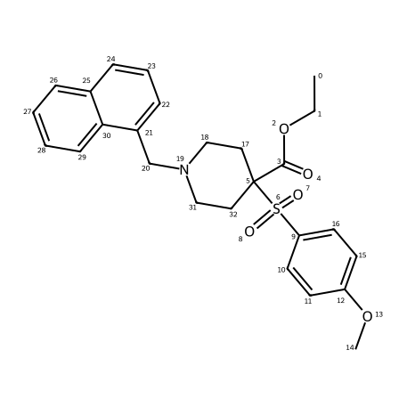 CCOC(=O)C1(S(=O)(=O)c2ccc(OC)cc2)CCN(Cc2cccc3ccccc23)CC1